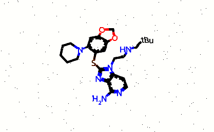 CC(C)(C)CNCCn1c(Sc2cc3c(cc2N2CCCCC2)OCO3)nc2c(N)nccc21